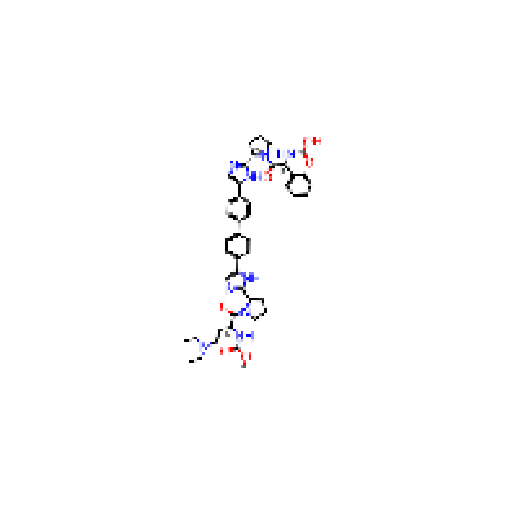 CCN(CC)CC[C@H](NC(=O)OC)C(=O)N1CCCC1c1ncc(-c2ccc(-c3ccc(-c4cnc([C@@H]5CCCN5C(=O)[C@H](NC(=O)O)c5ccccc5)[nH]4)cc3)cc2)[nH]1